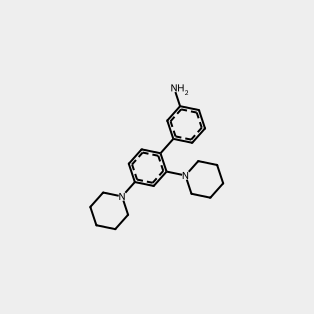 Nc1cccc(-c2ccc(N3CCCCC3)cc2N2CCCCC2)c1